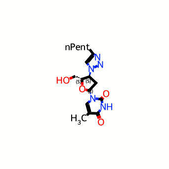 CCCCCc1cn([C@H]2C[C@H](n3cc(C)c(=O)[nH]c3=O)O[C@@H]2CO)nn1